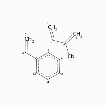 C=CC(=C)C#N.C=Cc1ccccc1